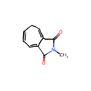 CN1C(=O)C2=CC=CCC=C2C1=O